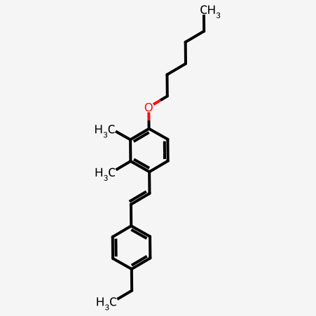 CCCCCCOc1ccc(C=Cc2ccc(CC)cc2)c(C)c1C